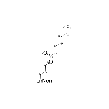 CCCCCCCCCCCCOC(=O)CCCCCC(C)C